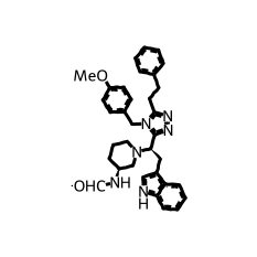 COc1ccc(Cn2c(CCc3ccccc3)nnc2[C@@H](Cc2c[nH]c3ccccc23)N2CCC[C@H](N[C]=O)C2)cc1